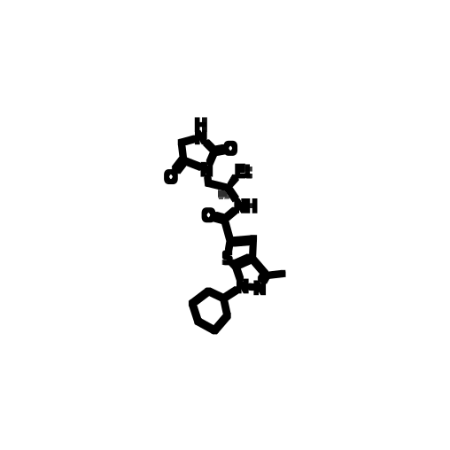 CC[C@H](CN1C(=O)CNC1=O)NC(=O)c1cc2c(C)nn(C3CCCCC3)c2s1